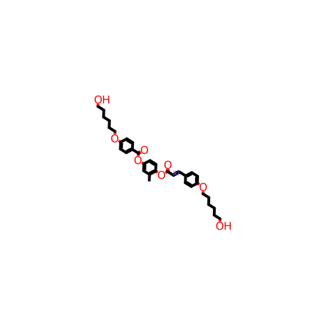 Cc1cc(OC(=O)c2ccc(OCCCCCCO)cc2)ccc1OC(=O)/C=C/c1ccc(OCCCCCCO)cc1